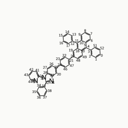 c1ccc(-c2c3ccccc3c(-c3ccccc3)c3cc(-c4ccc(-c5ccc6c(c5)nc(-c5ccccc5)n6-c5ccccn5)cc4)ccc23)cc1